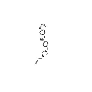 COc1ccc(CNc2ccc(CN3CCN(CCC#N)CC3)cc2)cc1